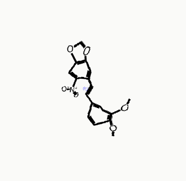 COc1ccc(/C=C/c2cc3c(cc2[N+](=O)[O-])OCO3)cc1OC